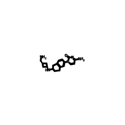 NC[C@H]1C[C@H](NC2CCc3cc(-n4ccc(N)nc4=O)ccc3C2)C1